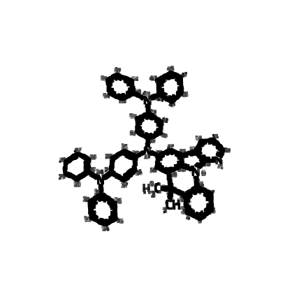 CC1(C)c2ccccc2-n2c3ncccc3c3cc(N(C4=CCC(N(C5=CC=CCC5)c5ccccc5)C=C4)c4ccc(N(c5ccccc5)c5ccccc5)cc4)cc1c32